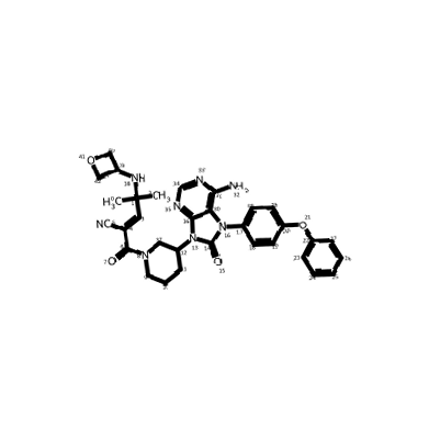 CC(C)(C=C(C#N)C(=O)N1CCCC(n2c(=O)n(-c3ccc(Oc4ccccc4)cc3)c3c(N)ncnc32)C1)NC1COC1